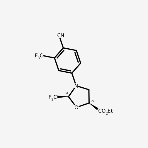 CCOC(=O)[C@@H]1CN(c2ccc(C#N)c(C(F)(F)F)c2)[C@H](C(F)(F)F)O1